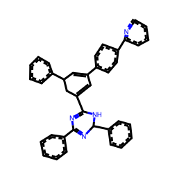 C1=C(C2=NC(c3ccccc3)=NC(c3ccccc3)N2)CC(c2ccccc2)C=C1c1ccc(-c2ccccn2)cc1